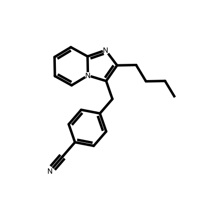 CCCCc1nc2ccccn2c1Cc1ccc(C#N)cc1